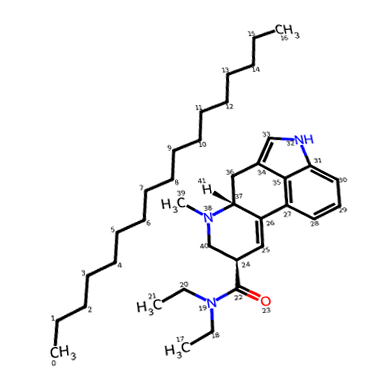 CCCCCCCCCCCCCCCCC.CCN(CC)C(=O)[C@@H]1C=C2c3cccc4[nH]cc(c34)C[C@H]2N(C)C1